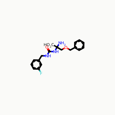 NC(COCc1ccccc1)(NC(=O)NCc1cccc(F)c1)C(=O)O